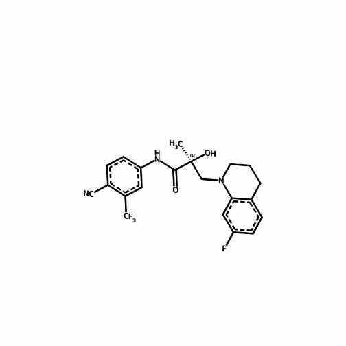 C[C@](O)(CN1CCCc2ccc(F)cc21)C(=O)Nc1ccc(C#N)c(C(F)(F)F)c1